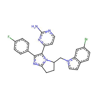 Nc1nccc(-c2c(-c3ccc(F)cc3)nc3n2C(Cn2ccc4ccc(Br)cc42)CC3)n1